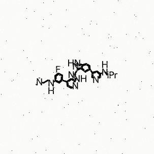 CC(C)Nc1cncc(-c2ccc3[nH]nc(-c4nc5c(-c6cc(F)cc(NCCN(C)C)c6)ccnc5[nH]4)c3c2)c1